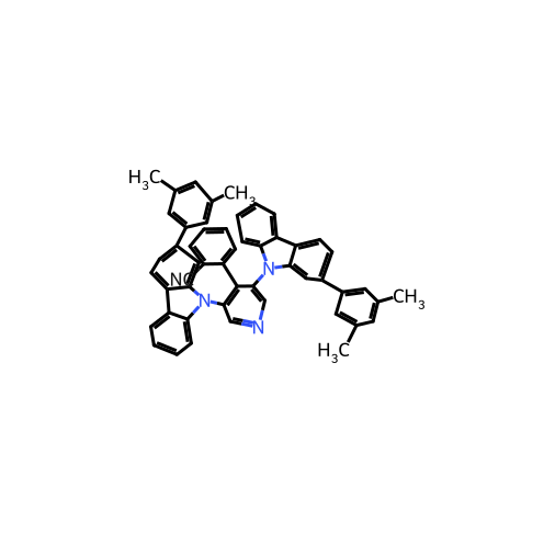 Cc1cc(C)cc(-c2ccc3c4ccccc4n(-c4cncc(-n5c6ccccc6c6ccc(-c7cc(C)cc(C)c7)cc65)c4-c4ccccc4C#N)c3c2)c1